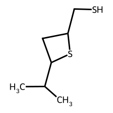 CC(C)C1CC(CS)S1